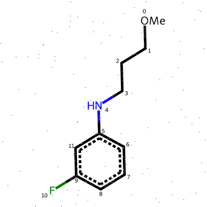 COCCCNc1cccc(F)c1